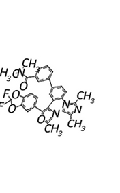 Cc1cn(-c2ccc(-c3cccc(C(=O)N(C)C)c3)cc2-c2nc(C)oc2-c2ccc3c(c2)OC(F)(F)O3)c(C)n1